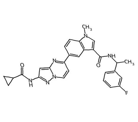 CC(NC(=O)c1cn(C)c2ccc(-c3ccn4nc(NC(=O)C5CC5)cc4n3)cc12)c1cccc(F)c1